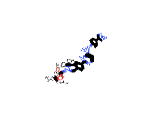 CC(C)(C)OC(=O)N1Cc2ccc(-c3nccc(Nc4ccc(-c5cn[nH]c5)cc4)n3)cc2C1(C)C